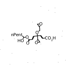 CCCCCC(O)OC(=O)C=CC(C=CC(=O)O)(OCC1CO1)C1CO1